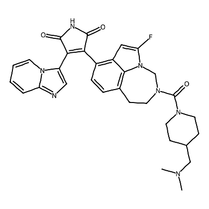 CN(C)CC1CCN(C(=O)N2CCc3ccc(C4=C(c5cnc6ccccn56)C(=O)NC4=O)c4cc(F)n(c34)C2)CC1